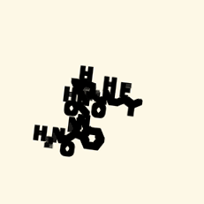 CC(C)=C(F)CNC(=O)[C@@H]1C[C@H]2C[C@H]2N1C(=O)Cn1nc(C(N)=O)c2ccccc21